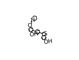 Oc1ccc2c(-c3ccc(-c4cc(OCCN5CCCCC5)ccc4O)cc3)csc2c1